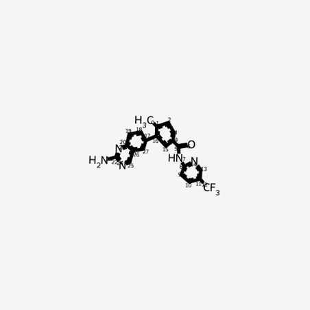 Cc1ccc(C(=O)Nc2ccc(C(F)(F)F)cn2)cc1-c1ccc2nc(N)ncc2c1